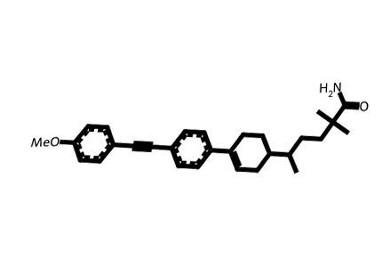 COc1ccc(C#Cc2ccc(C3=CCC(C(C)CCC(C)(C)C(N)=O)CC3)cc2)cc1